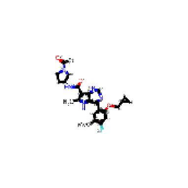 CCC(=O)N1CC[C@@H](NC(=O)c2c(C)[nH]c3c(-c4cc(OC)c(F)cc4OCC4CC4)ncnc23)C1